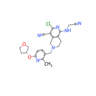 Cc1nc(O[C@@H]2CCOC2)ccc1CN1CCc2c(NCC#N)nc(Cl)c(C#N)c2C1